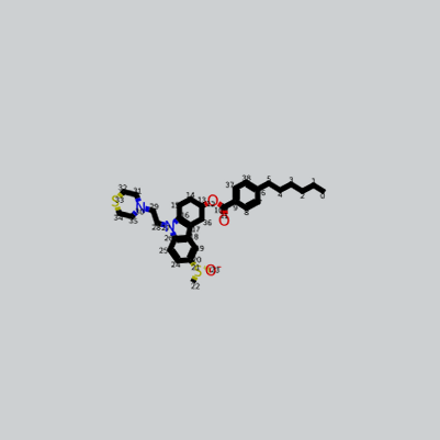 CCCCCCc1ccc(C(=O)OC2CCc3c(c4cc([S+](C)[O-])ccc4n3CCN3CCSCC3)C2)cc1